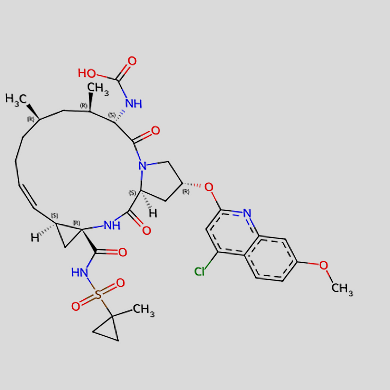 COc1ccc2c(Cl)cc(O[C@@H]3C[C@H]4C(=O)N[C@]5(C(=O)NS(=O)(=O)C6(C)CC6)C[C@H]5C=CCC[C@@H](C)C[C@@H](C)[C@H](NC(=O)O)C(=O)N4C3)nc2c1